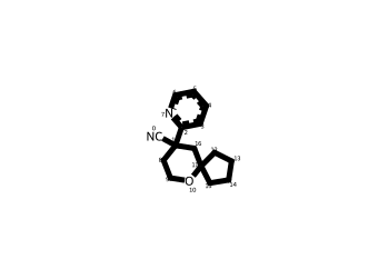 N#CC1(c2ccccn2)CCOC2(CCCC2)C1